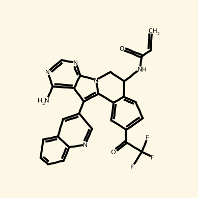 C=CC(=O)NC1Cn2c(c(-c3cnc4ccccc4c3)c3c(N)ncnc32)-c2cc(C(=O)C(F)(F)F)ccc21